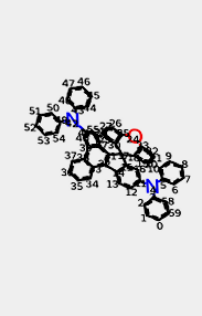 c1ccc(N(c2ccccc2)c2ccc3c(c2)C2(c4ccccc4Oc4ccccc42)c2c-3c3ccccc3c3cc(N(c4ccccc4)c4ccccc4)ccc23)cc1